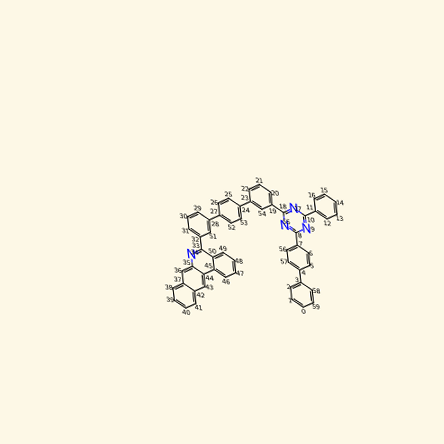 c1ccc(-c2ccc(-c3nc(-c4ccccc4)nc(-c4cccc(-c5ccc(-c6cccc(-c7nc8cc9ccccc9cc8c8ccccc78)c6)cc5)c4)n3)cc2)cc1